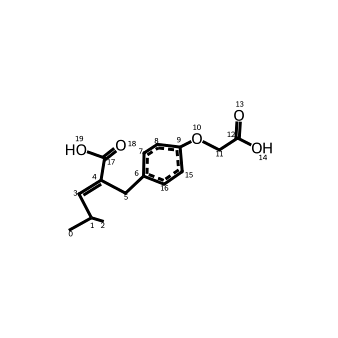 CC(C)/C=C(\Cc1ccc(OCC(=O)O)cc1)C(=O)O